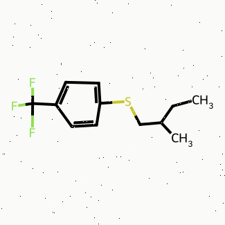 CCC(C)CSc1ccc(C(F)(F)F)cc1